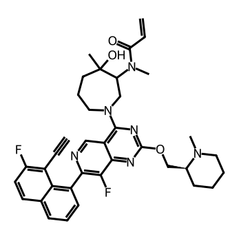 C#Cc1c(F)ccc2cccc(-c3ncc4c(N5CCCC(C)(O)C(N(C)C(=O)C=C)C5)nc(OC[C@@H]5CCCCN5C)nc4c3F)c12